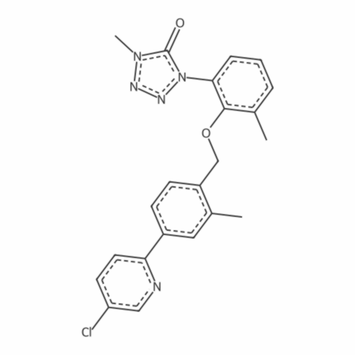 Cc1cc(-c2ccc(Cl)cn2)ccc1COc1c(C)cccc1-n1nnn(C)c1=O